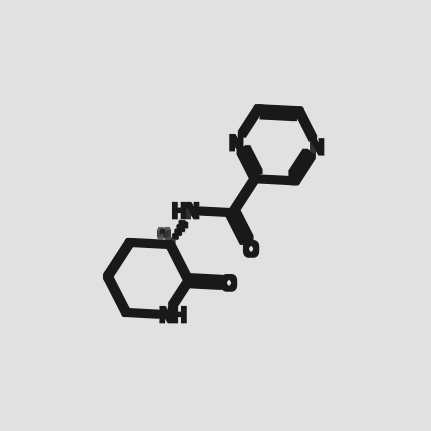 O=C(N[C@H]1CCCNC1=O)c1cnccn1